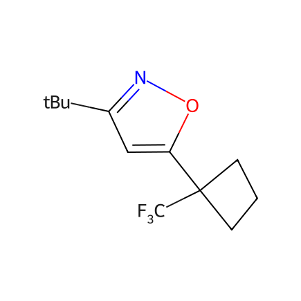 CC(C)(C)c1cc(C2(C(F)(F)F)CCC2)on1